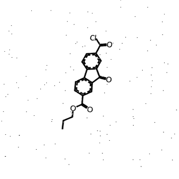 CCCOC(=O)c1ccc2c(c1)C(=O)c1cc(C(=O)Cl)ccc1-2